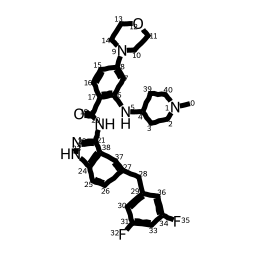 CN1CCC(Nc2cc(N3CCOCC3)ccc2C(=O)Nc2n[nH]c3ccc(Cc4cc(F)cc(F)c4)cc23)CC1